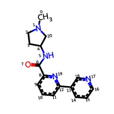 CN1CCC(NC(=O)c2cccc(-c3cccnc3)n2)C1